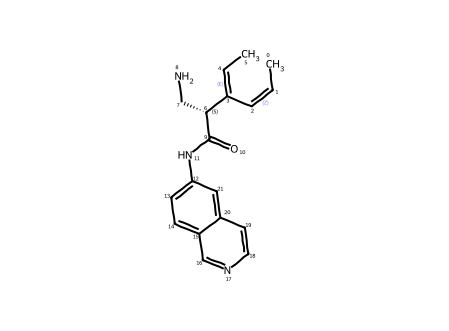 C/C=C\C(=C/C)[C@@H](CN)C(=O)Nc1ccc2cnccc2c1